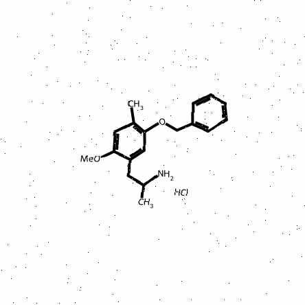 COc1cc(C)c(OCc2ccccc2)cc1CC(C)N.Cl